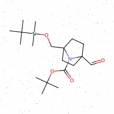 CC(C)(C)OC(=O)N1C2(C=O)CCC1(CO[Si](C)(C)C(C)(C)C)CC2